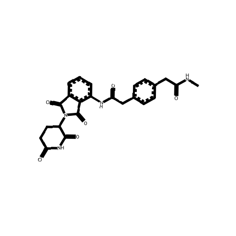 CNC(=O)Cc1ccc(CC(=O)Nc2cccc3c2C(=O)N(C2CCC(=O)NC2=O)C3=O)cc1